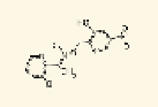 CC(c1ncccc1O)=[N+](Cl)OCc1ccc([N+](=O)[O-])cc1O